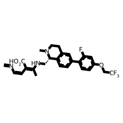 C=N/C=C\C(C(=O)O)=C(/C)NC[C@H]1c2ccc(-c3ccc(OCC(F)(F)F)cc3F)cc2CCN1C